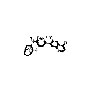 CN(c1ccc(-c2cc3occc(=O)c3cc2O)nn1)[C@H]1CC2CCC(N2)[C@H]1F